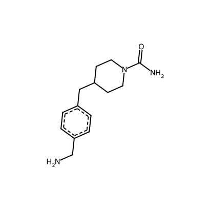 NCc1ccc(CC2CCN(C(N)=O)CC2)cc1